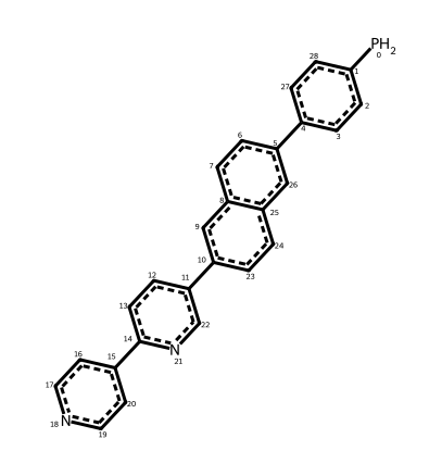 Pc1ccc(-c2ccc3cc(-c4ccc(-c5ccncc5)nc4)ccc3c2)cc1